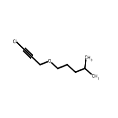 CC(C)CCCOCC#CCl